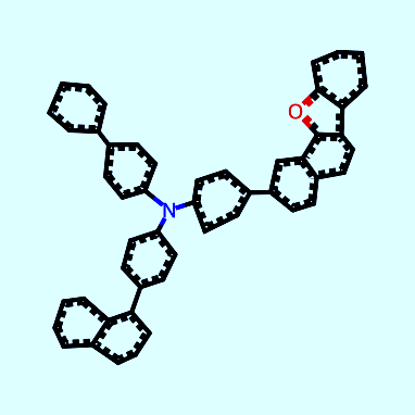 c1ccc(-c2ccc(N(c3ccc(-c4ccc5ccc6c7ccccc7oc6c5c4)cc3)c3ccc(-c4cccc5ccccc45)cc3)cc2)cc1